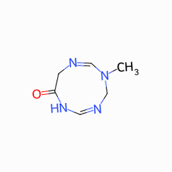 CN1/C=N\CC(=O)N/C=N\C1